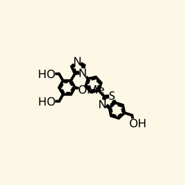 COc1cc(CO)cc(CO)c1-c1cncn1-c1ccc(-c2nc3ccc(CO)cc3s2)cc1